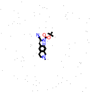 CN1CCc2cc(C[C@@H](C#N)NC(=O)OC(C)(C)C)ccc2C1